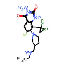 Cl.Nn1c(=O)[nH]c2c(C3(Cl)CC3)c(N3CCC(CNCC(F)(F)F)C3)c(F)cc2c1=O